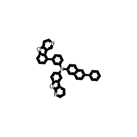 c1ccc(-c2ccc3cc(N(c4cccc(-c5cccc6oc7ccncc7c56)c4)c4ccc5oc6ncccc6c5c4)ccc3c2)cc1